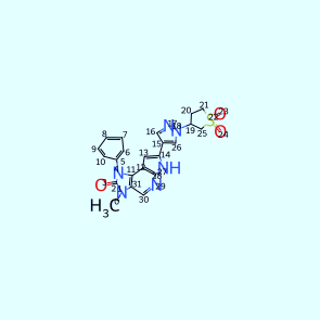 Cn1c(=O)n(-c2ccccc2)c2c3cc(-c4cnn(C5CCS(=O)(=O)C5)c4)[nH]c3ncc21